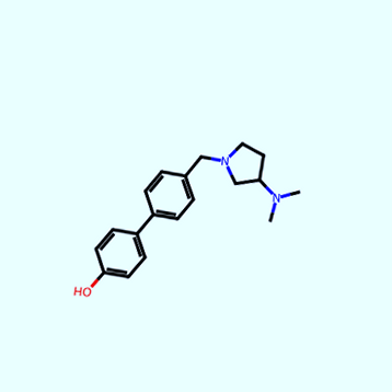 CN(C)C1CCN(Cc2ccc(-c3ccc(O)cc3)cc2)C1